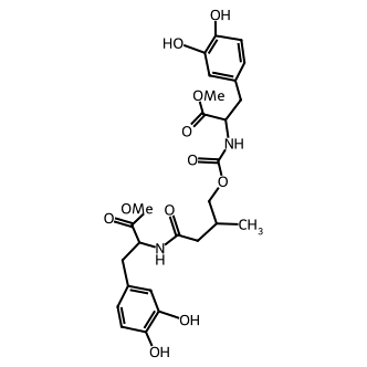 COC(=O)C(Cc1ccc(O)c(O)c1)NC(=O)CC(C)COC(=O)NC(Cc1ccc(O)c(O)c1)C(=O)OC